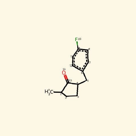 CC1CCC(Cc2ccc(F)cc2)C1=O